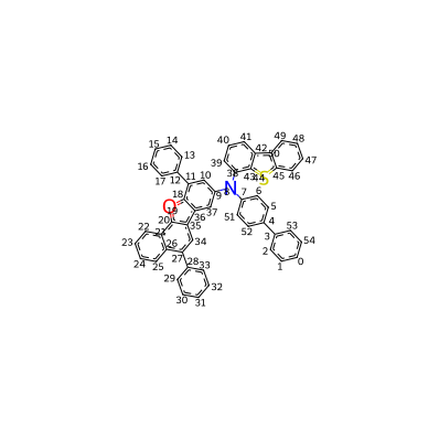 c1ccc(-c2ccc(N(c3cc(-c4ccccc4)c4oc5c6ccccc6c(-c6ccccc6)cc5c4c3)c3cccc4c3sc3ccccc34)cc2)cc1